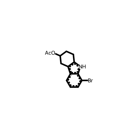 CC(=O)OC1CCc2[nH]c3c(Br)cccc3c2C1